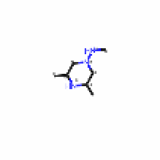 CNN1CC(C)NC(C)C1